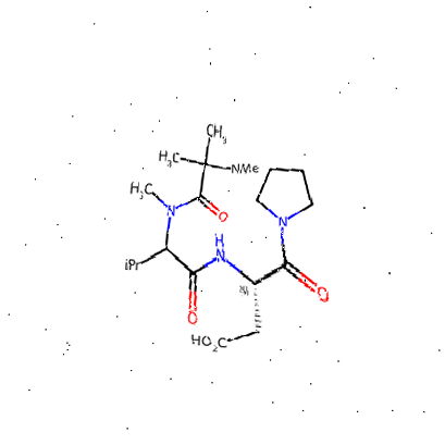 CNC(C)(C)C(=O)N(C)C(C(=O)N[C@@H](CC(=O)O)C(=O)N1CCCC1)C(C)C